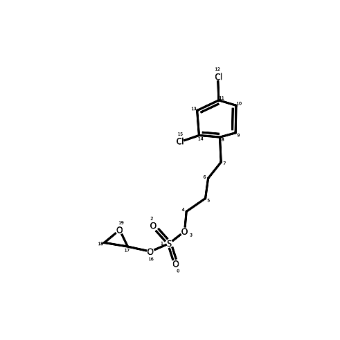 O=S(=O)(OCCCCc1ccc(Cl)cc1Cl)OC1CO1